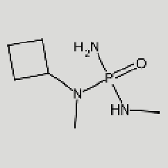 CNP(N)(=O)N(C)C1CCC1